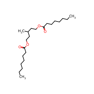 CCCCCCCC(=O)OCCC(C)CCOC(=O)CCCCCCC